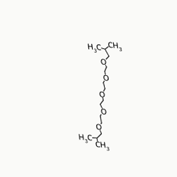 CC(C)COCCOCCOCCOCCOCC(C)C